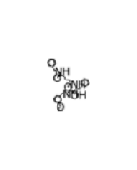 COc1cccc(CNC[C@@H](O)[C@H](Cc2ccccc2)NC(=O)CCCC(=O)NCc2ccccc2)c1